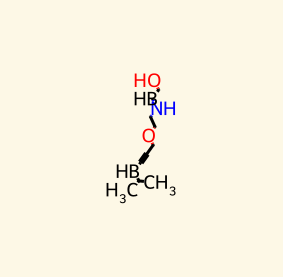 CC(C)BC#CCOCCNBCO